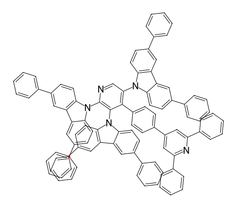 c1ccc(-c2ccc3c(c2)c2cc(-c4ccccc4)ccc2n3-c2cnc(-n3c4ccc(-c5ccccc5)cc4c4cc(-c5ccccc5)ccc43)c(-n3c4ccc(-c5ccccc5)cc4c4cc(-c5ccccc5)ccc43)c2-c2ccc(-c3cc(-c4ccccc4)nc(-c4ccccc4)c3)cc2)cc1